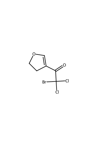 O=C(C1=COCC1)C(Cl)(Cl)Br